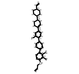 C=CCOc1ccc(-c2ccc(-c3ccc(C4=CCC(C5CCC(C=C)CC5)CC4)cc3F)cc2)c(F)c1F